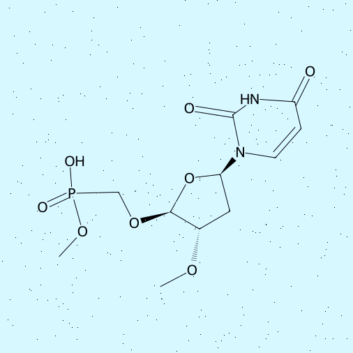 CO[C@H]1C[C@H](n2ccc(=O)[nH]c2=O)O[C@@H]1OCP(=O)(O)OC